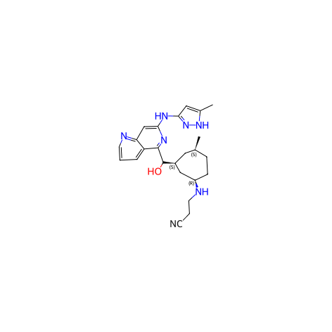 Cc1cc(Nc2cc3ncccc3c(C(O)[C@H]3C[C@@H](C)CC[C@@H](NCCC#N)C3)n2)n[nH]1